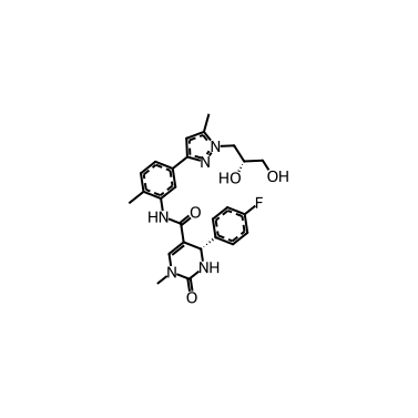 Cc1ccc(-c2cc(C)n(C[C@@H](O)CO)n2)cc1NC(=O)C1=CN(C)C(=O)N[C@H]1c1ccc(F)cc1